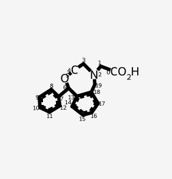 O=C(O)CN1CCOC(c2ccccc2)c2ccccc2C1